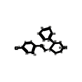 Clc1ccc(OC[C@H]2CCNC[C@@H]2c2ccccc2)nc1